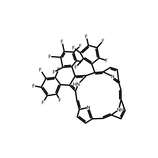 Fc1c(F)c(F)c(-c2c(-c3c(F)c(F)c(F)c(F)c3F)c3[nH]c2cc2nc(cc4ccc(cc5nc(c3-c3c(F)c(F)c(F)c(F)c3F)C=C5)[nH]4)C=C2)c(F)c1F